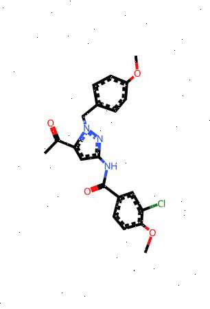 COc1ccc(Cn2nc(NC(=O)c3ccc(OC)c(Cl)c3)cc2C(C)=O)cc1